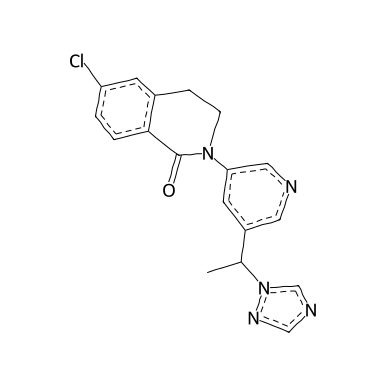 CC(c1cncc(N2CCc3cc(Cl)ccc3C2=O)c1)n1cncn1